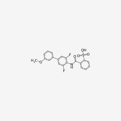 COc1cccc(-c2cc(F)c(NC(=O)c3ccccc3S(=O)(=O)O)c(F)c2)c1